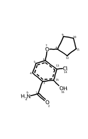 NC(=O)c1ccc(OC2CCCC2)c(Cl)c1O